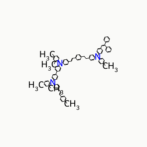 Cc1ccc(/C=C/c2ccc(N(c3ccc(-c4ccc(N(c5ccc(/C=C/c6ccc(CCc7ccc(N(c8ccc(C)cc8)c8ccc(C=C(c9ccccc9)c9ccccc9)cc8)cc7)cc6)cc5)c5ccc(C)cc5C)cc4)cc3)c3ccc(C)cc3C)cc2)cc1